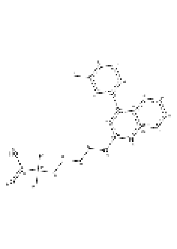 Cc1cccc(-c2cc(OCCCCC(C)(C)C(=O)O)nc3ccccc23)c1